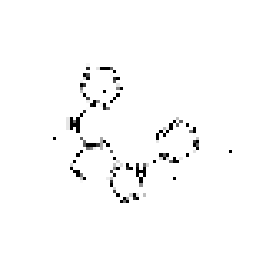 c1ccc(Nc2ccc3ccn(-c4ccccc4)c3n2)cc1